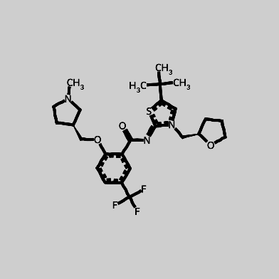 CN1CC[C@H](COc2ccc(C(F)(F)F)cc2C(=O)/N=c2\sc(C(C)(C)C)cn2C[C@H]2CCCO2)C1